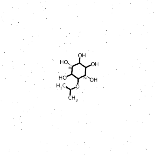 CC(C)OC1C(O)[C@H](O)C(O)C(O)[C@@H]1O